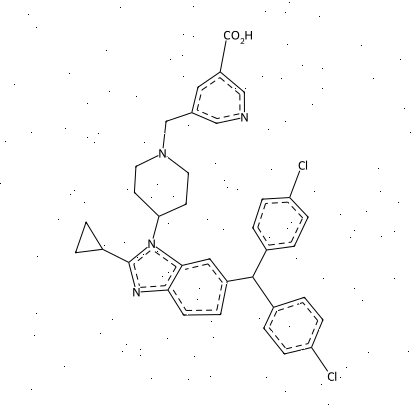 O=C(O)c1cncc(CN2CCC(n3c(C4CC4)nc4ccc(C(c5ccc(Cl)cc5)c5ccc(Cl)cc5)cc43)CC2)c1